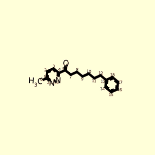 Cc1ccc(C(=O)CCCCCCc2ccccc2)nn1